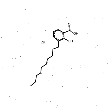 CCCCCCCCCCc1cccc(C(=O)O)c1O.[Zn]